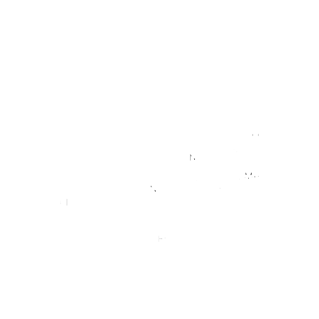 COC(=O)C(Cc1ccccc1)N1CCN(c2cc(Cl)ccc2Br)CC1=O